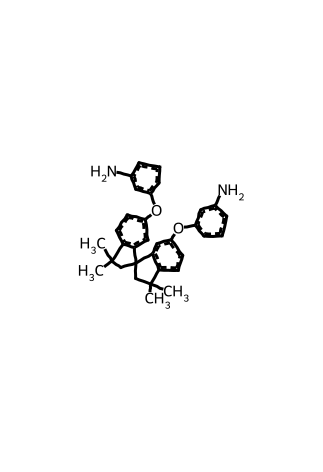 CC1(C)CC2(CC(C)(C)c3ccc(Oc4cccc(N)c4)cc32)c2cc(Oc3cccc(N)c3)ccc21